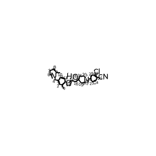 Cc1cc(CN2CCCC2C)ccc1OCCC1(O)CCN(c2ccc(C#N)c(Cl)c2)CC1